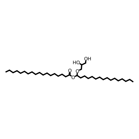 CCCCCCCCCCCCCCCCCC(=O)OC(CCCCCCCCCCCCCCC)OCC(O)CO